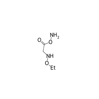 CCONCC(=O)ON